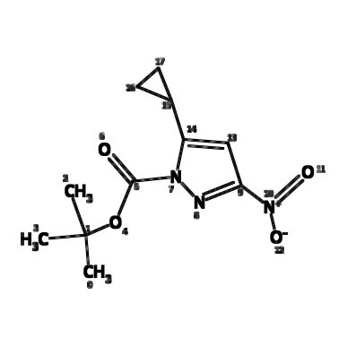 CC(C)(C)OC(=O)n1nc([N+](=O)[O-])cc1C1CC1